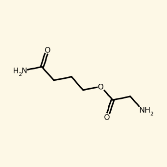 NCC(=O)OCCCC(N)=O